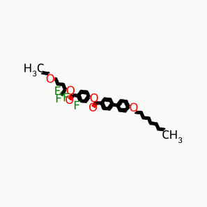 CCCCCCCCCOc1ccc(-c2ccc(C(=O)Oc3ccc(C(=O)OC(CCCOCCC)C(F)(F)F)c(F)c3)cc2)cc1